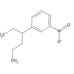 CCCC(CC)c1cccc([N+](=O)[O-])c1